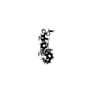 CCOC(=O)c1cnn(-c2ccc(S(=O)(=O)Nc3c(OC)ccc4cnn(C)c34)cn2)c1C